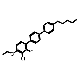 CCCCCc1ccc(-c2ccc(-c3ccc(OCC)c(Cl)c3F)cc2)cc1